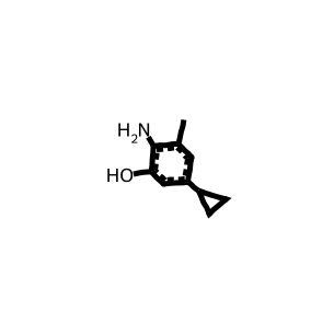 Cc1cc(C2CC2)cc(O)c1N